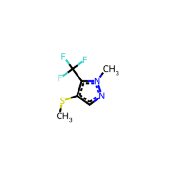 CSc1cnn(C)c1C(F)(F)F